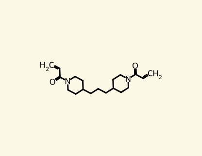 C=CC(=O)N1CCC(CCCC2CCN(C(=O)C=C)CC2)CC1